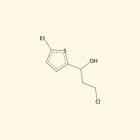 CCc1ccc(C(O)CCCl)s1